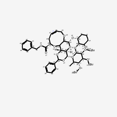 CCCCOC1[C@H](OCCCC)C(C)O[C@@H](O[C@@H]2C(CC)CCC[C@H]2O[C@@H]2O[C@H]3COC(c4ccccc4)O[C@@H]3C3O[C@@H](C(=O)OCc4ccccc4)C/C=C\COC32)[C@H]1OCCCC